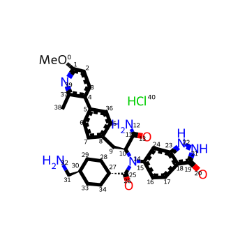 COc1ccc(-c2ccc(C[C@@H](C(N)=O)N(c3ccc4c(=O)[nH][nH]c4c3)C(=O)[C@H]3CC[C@H](CN)CC3)cc2)c(C)n1.Cl